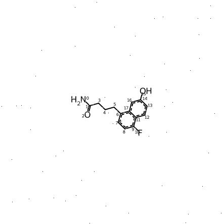 NC(=O)CCCc1ccc(F)c2ccc(O)cc12